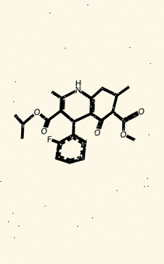 COC(=O)C1C(=O)C2=C(CC1C)NC(C)=C(C(=O)OC(C)C)C2c1ccccc1F